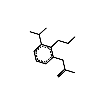 C=C(C)Cc1cccc(C(C)C)c1CCC